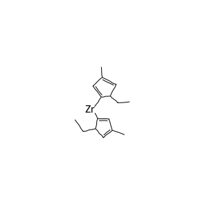 CCC1C=C(C)C=[C]1[Zr][C]1=CC(C)=CC1CC